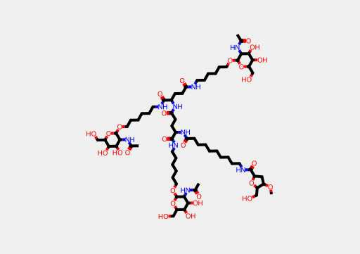 COC1CC(C(=O)NCCCCCCCCCC(=O)NC(CCC(=O)NC(CCC(=O)NCCCCCCOC2OC(CO)C(O)C(O)C2NC(C)=O)C(=O)NCCCCCCOC2OC(CO)C(O)C(O)C2NC(C)=O)C(=O)NCCCCCCOC2OC(CO)C(O)C(O)C2NC(C)=O)OC1CO